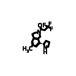 Cc1cc2c(c([C@@H]3CCCN3)c1)CN(C(=O)CC(F)(F)F)CC2